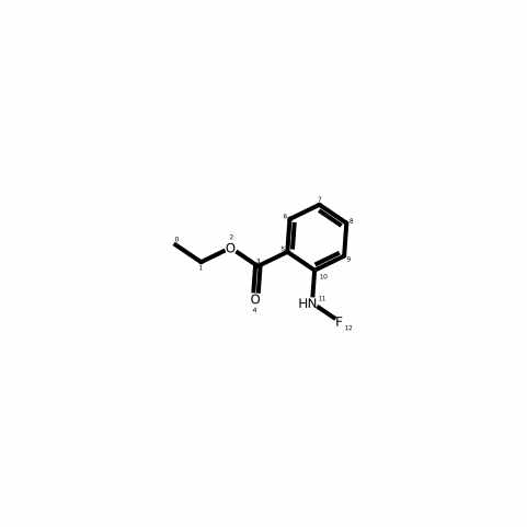 CCOC(=O)c1ccccc1NF